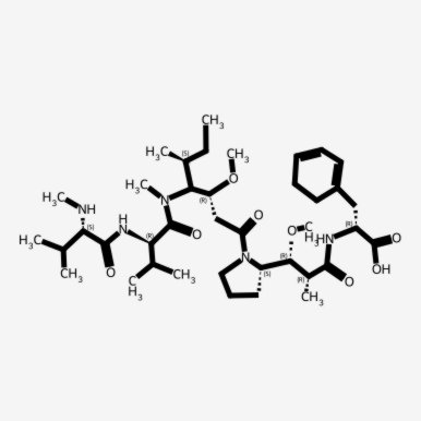 CC[C@H](C)C([C@@H](CC(=O)N1CCC[C@H]1[C@H](OC)[C@@H](C)C(=O)N[C@H](CC1=CC=CCC1)C(=O)O)OC)N(C)C(=O)[C@H](NC(=O)[C@@H](NC)C(C)C)C(C)C